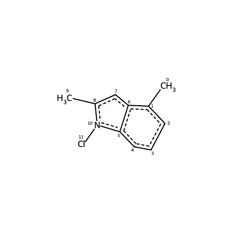 Cc1cccc2c1cc(C)n2Cl